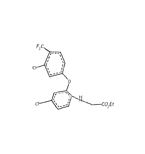 CCOC(=O)CNc1ccc(Cl)cc1Oc1ccc(C(F)(F)F)c(Cl)c1